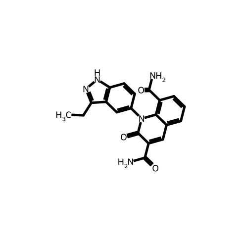 CCc1n[nH]c2ccc(-n3c(=O)c(C(N)=O)cc4cccc(C(N)=O)c43)cc12